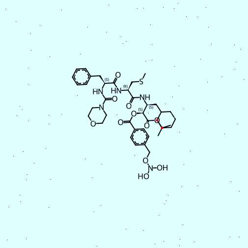 CSC[C@H](NC(=O)[C@H](Cc1ccccc1)NC(=O)N1CCOCC1)C(=O)N[C@@H](CC1CCCCC1)[C@H](OC(=O)c1ccc(CON(O)O)cc1)C(=O)OC(C)C